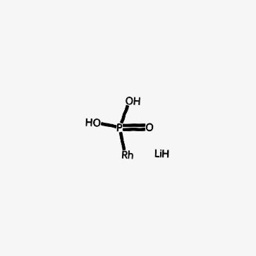 O=[P](O)(O)[Rh].[LiH]